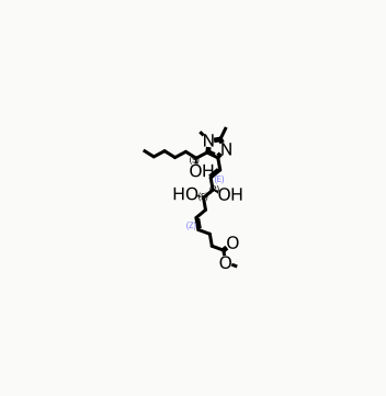 CCCCC[C@H](O)c1c(/C=C/[C@@H](O)[C@@H](O)C/C=C\CCC(=O)OC)nc(C)n1C